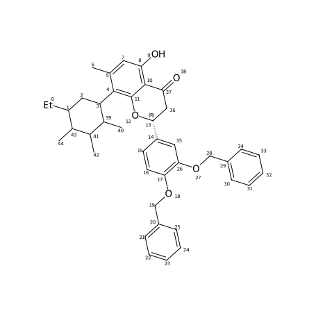 CCC1CC(c2c(C)cc(O)c3c2O[C@@H](c2ccc(OCc4ccccc4)c(OCc4ccccc4)c2)CC3=O)C(C)C(C)C1C